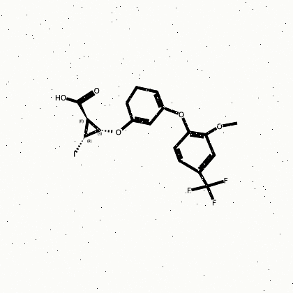 COc1cc(C(F)(F)F)ccc1OC1=CCCC(O[C@@H]2[C@H](I)[C@H]2C(=O)O)=C1